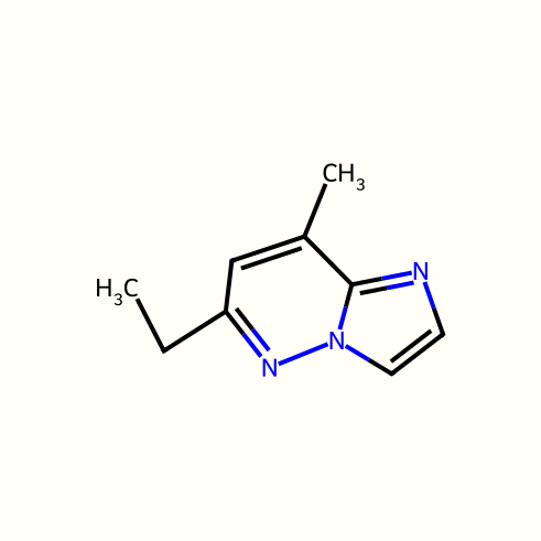 CCc1cc(C)c2nccn2n1